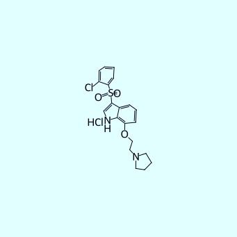 Cl.O=S(=O)(c1ccccc1Cl)c1c[nH]c2c(OCCN3CCCC3)cccc12